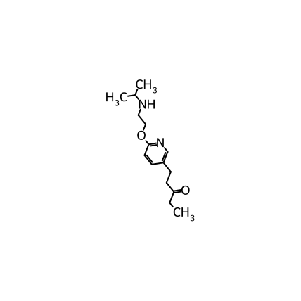 CCC(=O)CCc1ccc(OCCNC(C)C)nc1